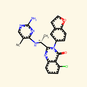 C[C@@H](Nc1nc(N)ncc1C#N)c1nc2cccc(Cl)c2c(=O)n1-c1ccc2occc2c1